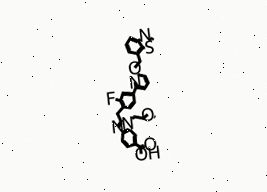 COCCn1c(Cc2ccc(-c3cccc(OCc4cccc5ncsc45)n3)cc2F)nc2ccc(C(=O)O)cc21